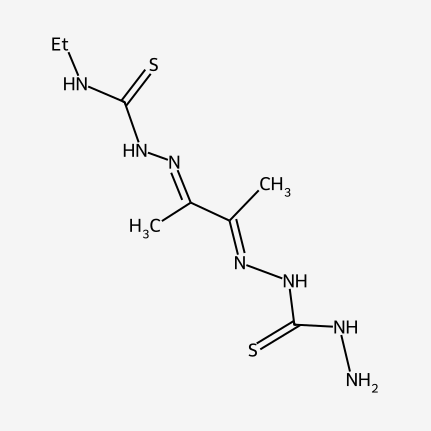 CCNC(=S)N/N=C(C)/C(C)=N/NC(=S)NN